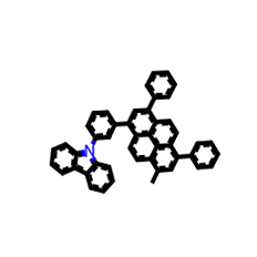 Cc1cc(-c2ccccc2)c2ccc3c(-c4ccccc4)cc(-c4cccc(-n5c6ccccc6c6ccccc65)c4)c4ccc1c2c34